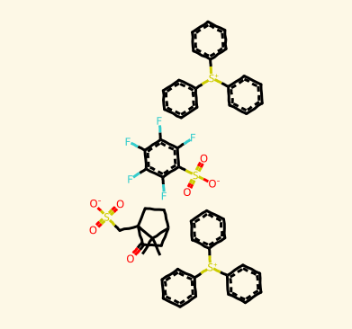 CC1(C)C2CCC1(CS(=O)(=O)[O-])C(=O)C2.O=S(=O)([O-])c1c(F)c(F)c(F)c(F)c1F.c1ccc([S+](c2ccccc2)c2ccccc2)cc1.c1ccc([S+](c2ccccc2)c2ccccc2)cc1